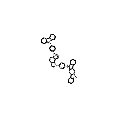 c1ccc2c(c1)sc1cc3c4ccccc4n(-c4ccc(-n5ccc6ccc7c(ccn7-c7ccc(-n8c9ccccc9c9ccccc98)cc7)c65)cc4)c3cc12